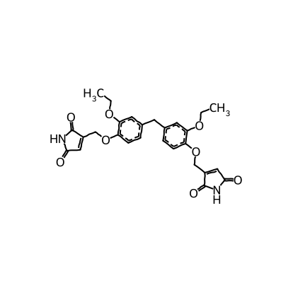 CCOc1cc(Cc2ccc(OCC3=CC(=O)NC3=O)c(OCC)c2)ccc1OCC1=CC(=O)NC1=O